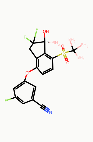 BC(B)(B)S(=O)(=O)c1ccc(Oc2cc(F)cc(C#N)c2)c2c1[C@](B)(O)C(F)(F)C2